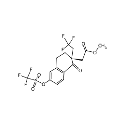 COC(=O)C[C@]1(CC(F)(F)F)CCc2cc(OS(=O)(=O)C(F)(F)F)ccc2C1=O